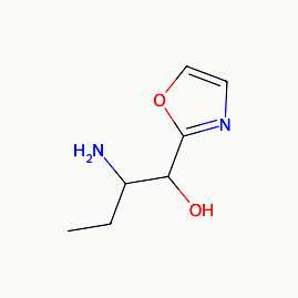 CCC(N)C(O)c1ncco1